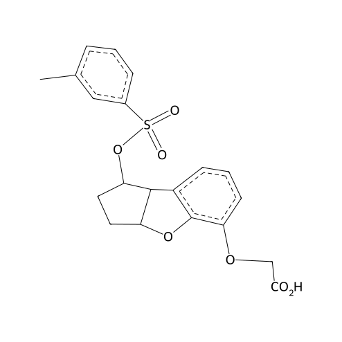 Cc1cccc(S(=O)(=O)OC2CCC3Oc4c(OCC(=O)O)cccc4C32)c1